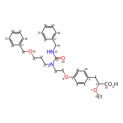 CCOC(Cc1ccc(OCCN(CCCOCc2ccccc2)C(=O)NCc2ccccc2)cc1)C(=O)O